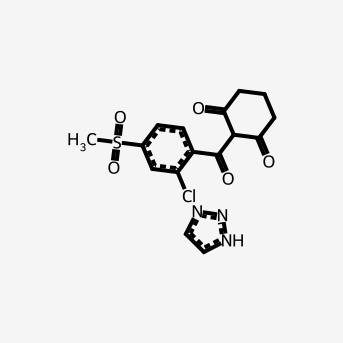 CS(=O)(=O)c1ccc(C(=O)C2C(=O)CCCC2=O)c(Cl)c1.c1c[nH]nn1